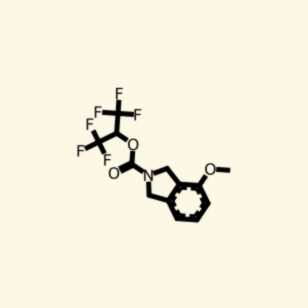 COc1cccc2c1CN(C(=O)OC(C(F)(F)F)C(F)(F)F)C2